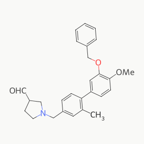 COc1ccc(-c2ccc(CN3CCC(C=O)C3)cc2C)cc1OCc1ccccc1